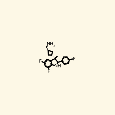 CC1([C@H]2C[C@H](CN)C2)c2cc(F)cc(F)c2NC1c1ccc(F)cc1